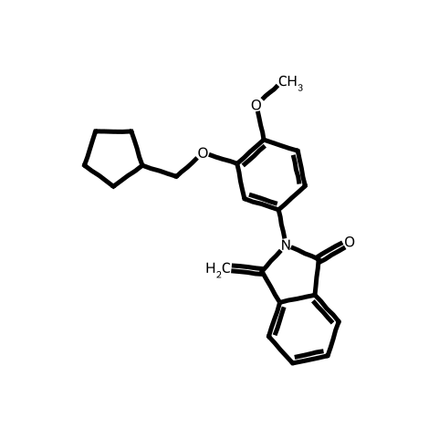 C=C1c2ccccc2C(=O)N1c1ccc(OC)c(OCC2CCCC2)c1